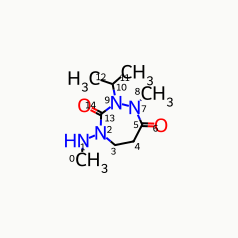 CNN1CCC(=O)N(C)N(C(C)C)C1=O